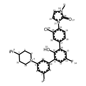 CC(C)C1CCN(c2cc(F)cc(-c3cc(F)cc(-c4ccc(-n5ccn(C)c5=O)c(Cl)c4)c3O)c2)CC1